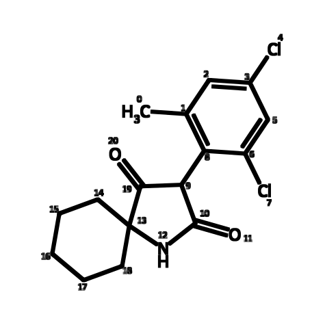 Cc1cc(Cl)cc(Cl)c1C1C(=O)NC2(CCCCC2)C1=O